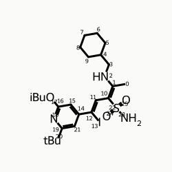 C/C(NCC1CCCCC1)=C(/C=C(\I)c1cc(OCC(C)C)nc(C(C)(C)C)c1)S(N)(=O)=O